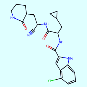 N#CC(C[C@@H]1CCCNC1=O)NC(=O)C(CC1CC1)NC(=O)c1cc2c(Cl)cccc2[nH]1